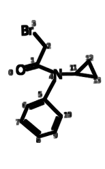 O=C(CBr)N(c1ccccc1)C1CC1